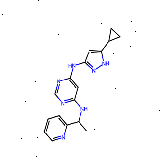 CC(Nc1cc(Nc2cc(C3CC3)[nH]n2)ncn1)c1ccccn1